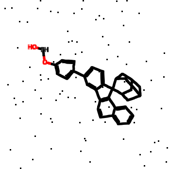 OBOc1ccc(-c2ccc3c(c2)-c2ccc4ccccc4c2C32C3CC4CC(C3)CC2C4)cc1